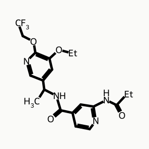 CCOc1cc(C(C)NC(=O)c2ccnc(NC(=O)CC)c2)cnc1OCC(F)(F)F